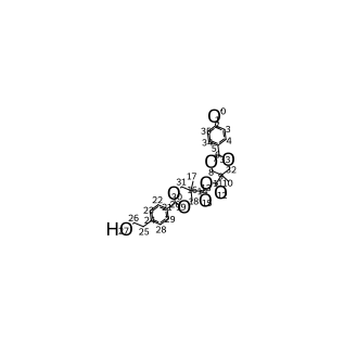 COc1ccc(C2OCC(C)(C(=O)OC(=O)C3(C)COC(c4ccc(CCO)cc4)OC3)CO2)cc1